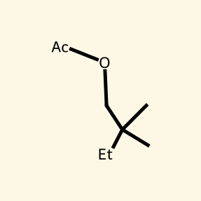 [CH2]C(=O)OCC(C)(C)CC